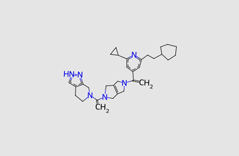 C=C(c1cc(CCC2CCCCC2)nc(C2CC2)c1)N1CC2=C(C1)CN(C(=C)N1CCc3c[nH]nc3C1)C2